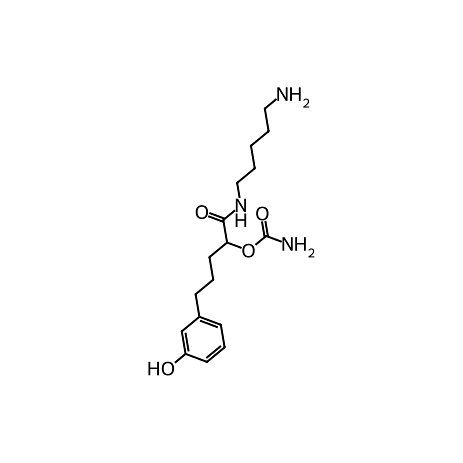 NCCCCCNC(=O)C(CCCc1cccc(O)c1)OC(N)=O